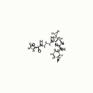 O=C(NCCCNc1nc(Nc2cccc(F)c2)ncc1C1CC1)c1ccco1